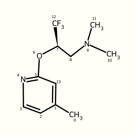 Cc1ccnc(O[C@H](CN(C)C)C(F)(F)F)c1